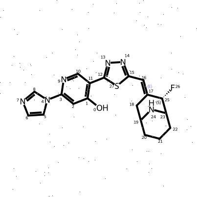 Oc1cc(-n2ccnc2)ncc1-c1nnc(/C=C2\CC3CCCC(N3)[C@H]2F)s1